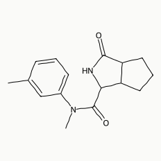 Cc1cccc(N(C)C(=O)C2NC(=O)C3CCCC32)c1